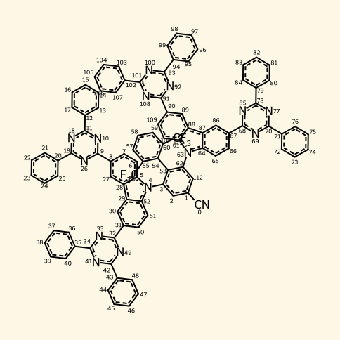 N#Cc1cc(-n2c3ccc(-c4nc(-c5ccccc5)nc(-c5ccccc5)n4)cc3c3cc(-c4nc(-c5ccccc5)nc(-c5ccccc5)n4)ccc32)c(-c2c(C(F)(F)F)cccc2C(F)(F)F)c(-n2c3ccc(-c4nc(-c5ccccc5)nc(-c5ccccc5)n4)cc3c3cc(-c4nc(-c5ccccc5)nc(-c5ccccc5)n4)ccc32)c1